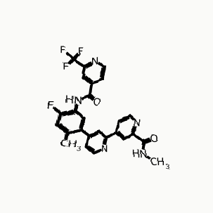 CNC(=O)c1cc(-c2cc(-c3cc(NC(=O)c4ccnc(C(F)(F)F)c4)c(F)cc3C)ccn2)ccn1